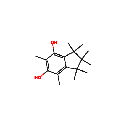 Cc1c(O)c(C)c2c(c1O)C(C)(C)C(C)(C)C2(C)C